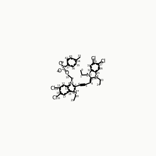 CCN1C(=CC#Cc2n(CC)c3cc(Cl)c(Cl)cc3[n+]2CC)N(CC)c2cc(Cl)c(Cl)cc21.Cc1ccc(S(=O)(=O)[O-])cc1